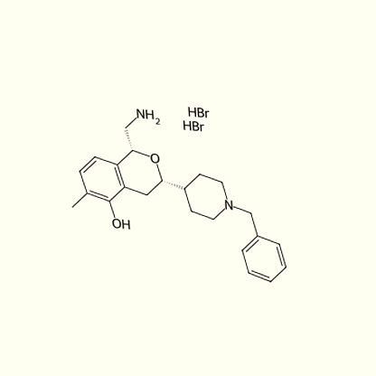 Br.Br.Cc1ccc2c(c1O)C[C@@H](C1CCN(Cc3ccccc3)CC1)O[C@H]2CN